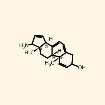 C[C@]12C=CC(O)CC1=CC=C1[C@H]2CC[C@]2(C)C(N)C=C[C@@H]12